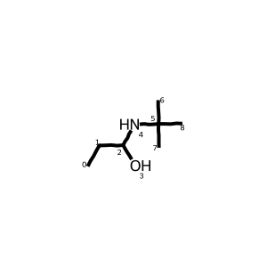 CCC(O)NC(C)(C)C